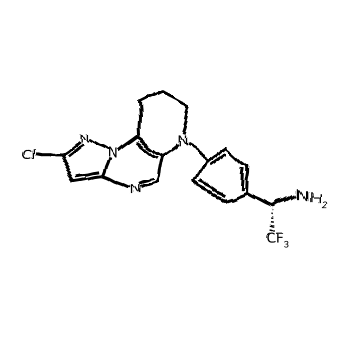 N[C@@H](c1ccc(N2CCCc3c2cnc2cc(Cl)nn32)cc1)C(F)(F)F